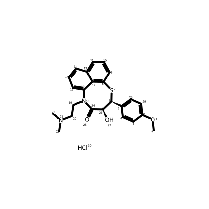 COc1ccc([C@@H]2Sc3cccc4cccc(c34)N(CCN(C)C)C(=O)[C@@H]2O)cc1.Cl